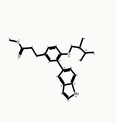 COC(=O)CCc1ccc(OCC(C)C(C)C)c(-c2ccc3[nH]ccc3c2)c1